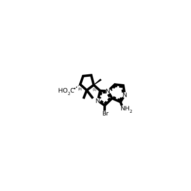 CC1(C)[C@H](C(=O)O)CC[C@]1(C)c1nc(Br)c2c(N)nccn12